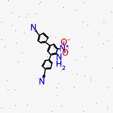 N#Cc1ccc(-c2cc(-c3ccc(C#N)cc3)c(N)c([N+](=O)[O-])c2)cc1